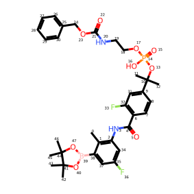 Cc1c(NC(=O)c2ccc(C(C)(C)OP(=O)(O)OCCNC(=O)OCc3ccccc3)cc2F)cc(F)cc1B1OC(C)(C)C(C)(C)O1